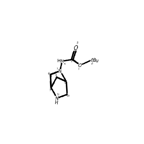 CC(C)(C)OC(=O)NN1CC2CC1CN2